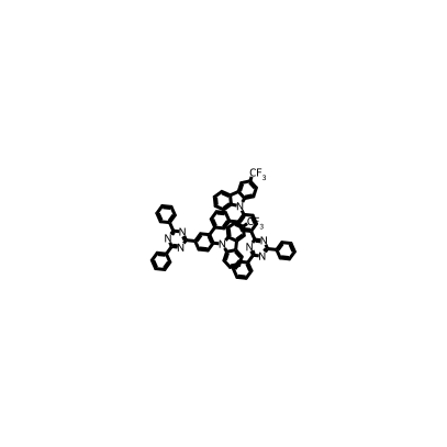 FC(F)(F)c1ccc2c(c1)c1ccccc1n2-c1ccc(-c2nc(-c3ccccc3)nc(-c3ccccc3)n2)cc1-c1cccc(-c2cc(-c3nc(-c4ccccc4)nc(-c4ccccc4)n3)ccc2-n2c3ccccc3c3cc(C(F)(F)F)ccc32)c1